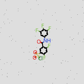 O=C(Nc1cc(F)c(F)c(F)c1)c1cc(S(=O)(=O)Cl)c(F)cc1F